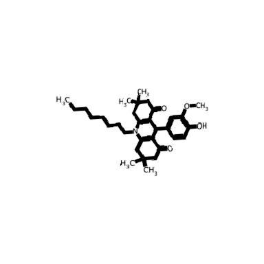 CCCCCCCCN1C2=C(C(=O)CC(C)(C)C2)C(c2ccc(O)c(OC)c2)C2=C1CC(C)(C)CC2=O